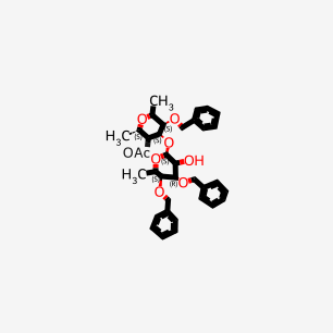 CC(=O)OC1[C@H](C)OC(C)[C@H](OCc2ccccc2)[C@@H]1O[C@@H]1OC(C)[C@H](OCc2ccccc2)[C@H](OCc2ccccc2)C1O